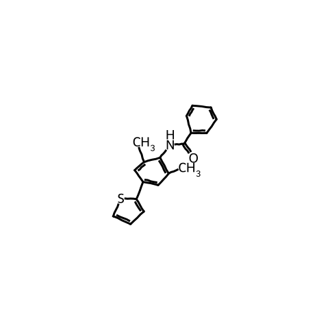 Cc1cc(-c2cccs2)cc(C)c1NC(=O)c1ccccc1